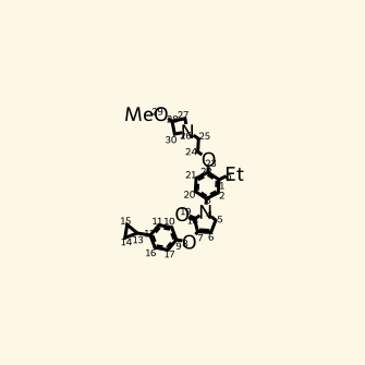 CCc1cc(N2CC=C(Oc3ccc(C4CC4)cc3)C2=O)ccc1OCCN1CC(OC)C1